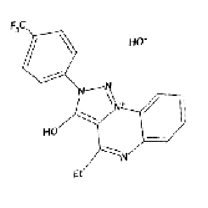 CCc1nc2ccccc2[n+]2nn(-c3ccc(C(F)(F)F)cc3)c(O)c12.[OH-]